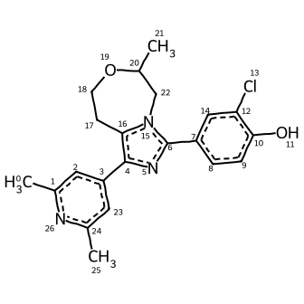 Cc1cc(-c2nc(-c3ccc(O)c(Cl)c3)n3c2CCOC(C)C3)cc(C)n1